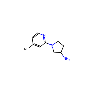 N#Cc1ccnc(N2CCC(N)C2)c1